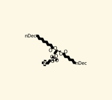 CCCCCCCCCCCCCCCCCC(=O)O[C@H](COC(=O)CCCCCCCCCCCCCCC)COP(=O)([O-])OCC[N+](C)(C)C